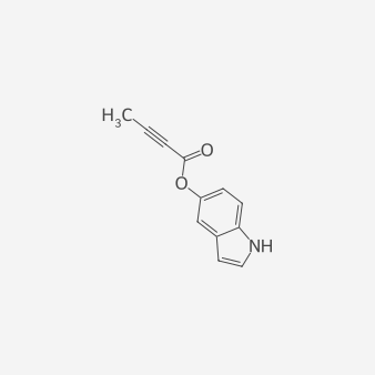 CC#CC(=O)Oc1ccc2[nH]ccc2c1